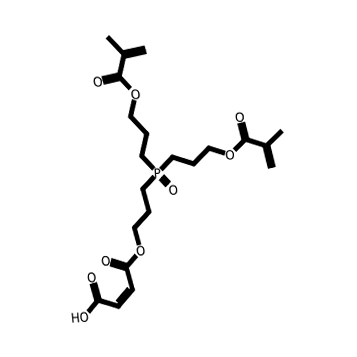 C=C(C)C(=O)OCCCP(=O)(CCCOC(=O)/C=C\C(=O)O)CCCOC(=O)C(=C)C